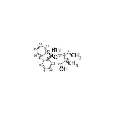 C=CC(CO[Si](c1ccccc1)(c1ccccc1)C(C)(C)C)C(C)CO